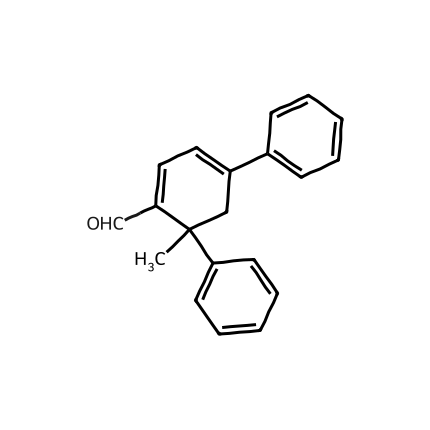 CC1(c2ccccc2)CC(c2ccccc2)=CC=C1C=O